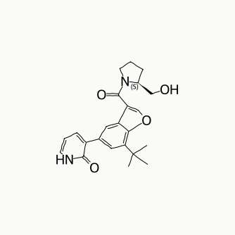 CC(C)(C)c1cc(-c2ccc[nH]c2=O)cc2c(C(=O)N3CCC[C@H]3CO)coc12